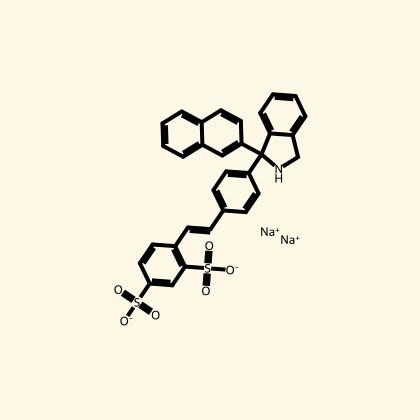 O=S(=O)([O-])c1ccc(C=Cc2ccc(C3(c4ccc5ccccc5c4)NCc4ccccc43)cc2)c(S(=O)(=O)[O-])c1.[Na+].[Na+]